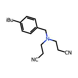 CCC(C)c1ccc(CN(CCC#N)CCC#N)cc1